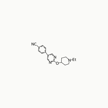 CCN1CCC(Oc2ncc(-c3ccc(C#N)cc3)cn2)CC1